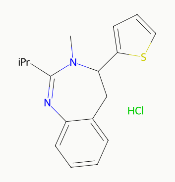 CC(C)C1=Nc2ccccc2CC(c2cccs2)N1C.Cl